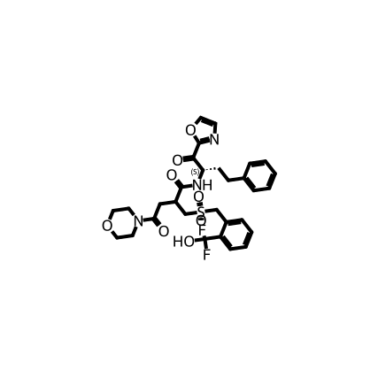 O=C(N[C@@H](CCc1ccccc1)C(=O)c1ncco1)C(CC(=O)N1CCOCC1)CS(=O)(=O)Cc1ccccc1C(O)(F)F